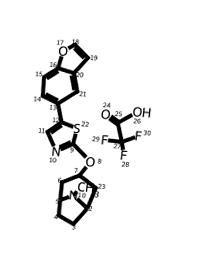 CN1C2CCC1CC(Oc1ncc(-c3ccc4occc4c3)s1)C2.O=C(O)C(F)(F)F